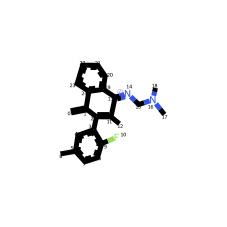 C=C1C(c2cc(C)ccc2F)=C(C)/C(=N\CN(C)C)c2ccccc21